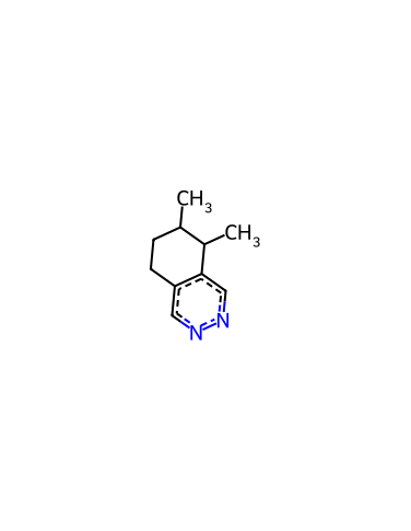 CC1CCc2cnncc2C1C